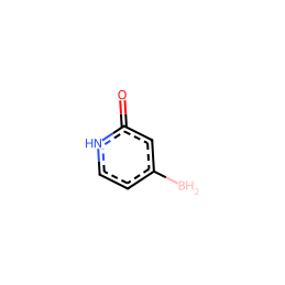 Bc1cc[nH]c(=O)c1